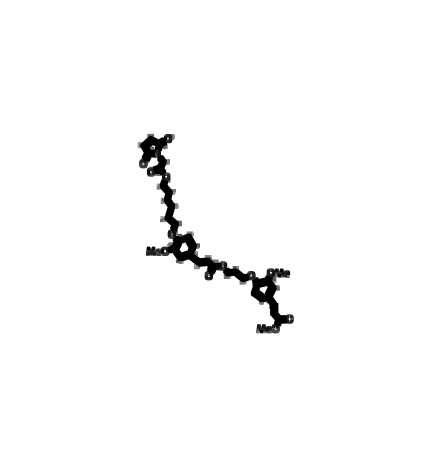 COC(=O)/C=C/c1ccc(OCCCOC(=O)/C=C/c2ccc(OCCCCCCOC(=O)CN3C(=O)C=CC3=O)c(OC)c2)c(OC)c1